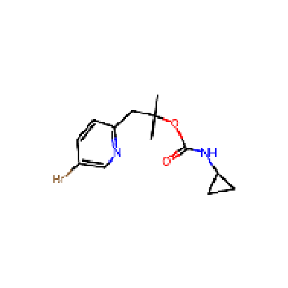 CC(C)(Cc1ccc(Br)cn1)OC(=O)NC1CC1